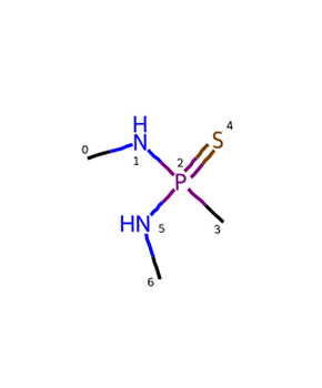 CNP(C)(=S)NC